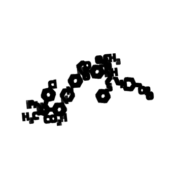 Cc1c(C(=O)O)c(-c2cccc(N3CCN(c4ccc(N5CCO[P@@]5(=O)c5ccc(N[C@H](CCN6CCC(COP=O)CC6)CSc6ccccc6)c(S(C)(=O)=O)c5)cc4)CC3)c2)c(-c2ccc(Cl)cc2)n1C(C)C